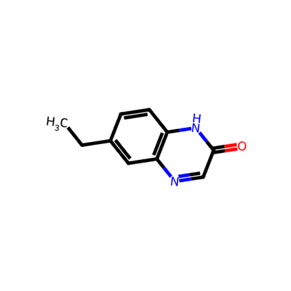 CCc1ccc2[nH]c(=O)cnc2c1